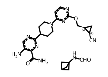 N#C[C@@H]1C[C@@H]1COc1nccc(N2CCC(c3ncc(N)c(C(N)=O)n3)CC2)n1.O=CNC12CC(C1)C2